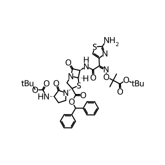 CC(C)(C)OC(=O)N[C@H]1CCN([C@]2(C(=O)OC(c3ccccc3)c3ccccc3)CN3C(=O)[C@@H](NC(=O)/C(=N\OC(C)(C)C(=O)OC(C)(C)C)c4csc(N)n4)[C@H]3S2)C1=O